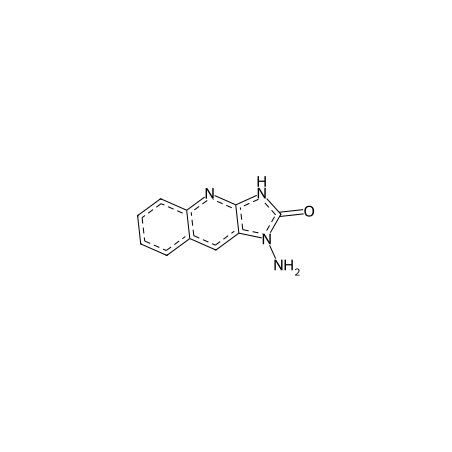 Nn1c(=O)[nH]c2nc3ccccc3cc21